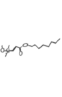 CCCCCCCCOC(=O)C=C[Si](C)(C)OC